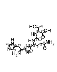 CC(O)[C@H](NC(=O)N[C@@H](CCC(N)=O)c1nc([C@@H](N)Cc2cnc[nH]2)no1)C(=O)O